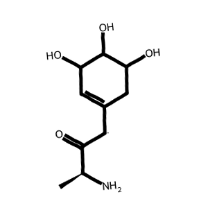 C[C@H](N)C(=O)[CH]C1=CC(O)C(O)C(O)C1